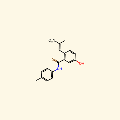 CC(=Cc1ccc(O)cc1C(=S)Nc1ccc(C)cc1)[N+](=O)[O-]